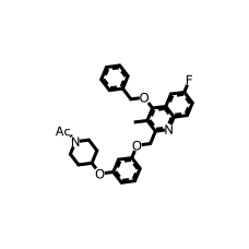 CC(=O)N1CCC(Oc2cccc(OCc3nc4ccc(F)cc4c(OCc4ccccc4)c3C)c2)CC1